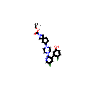 CCOC(=O)N1CC2(CCC(=[N+]3CCN(c4ncc(F)cc4-c4cc(O)ccc4F)CC3)C2)C1